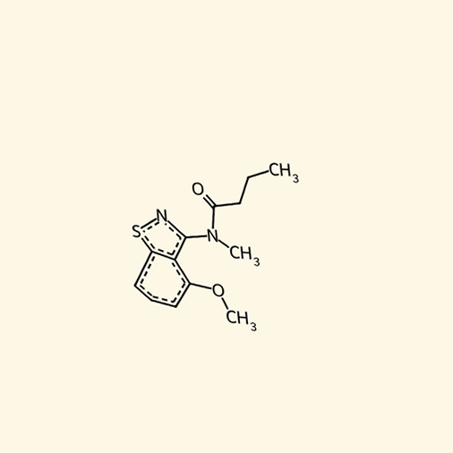 CCCC(=O)N(C)c1nsc2cccc(OC)c12